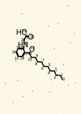 CCCCCCCCCCCC(=O)c1ccccc1NCC(=O)O